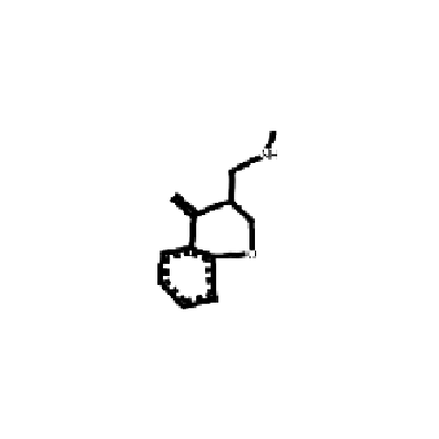 C=C1c2ccccc2OCC1CNC